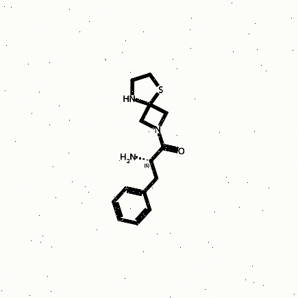 N[C@@H](Cc1ccccc1)C(=O)N1CC2(C1)NCCS2